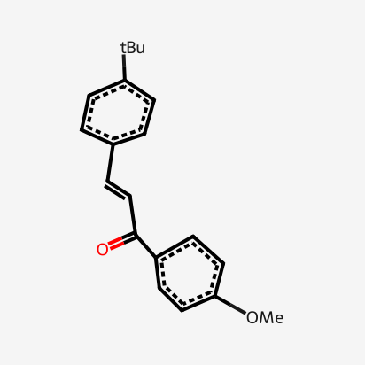 COc1ccc(C(=O)C=Cc2ccc(C(C)(C)C)cc2)cc1